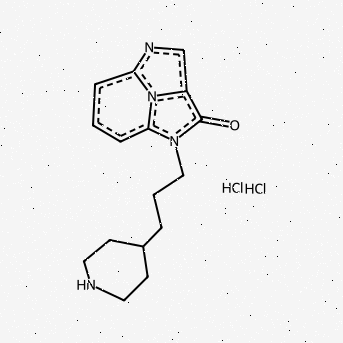 Cl.Cl.O=c1c2cnc3cccc(n1CCCC1CCNCC1)n32